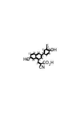 N#CC(=Cc1cc(-c2ccc(O)c(F)c2)cc2ccc(O)cc12)C(=O)O